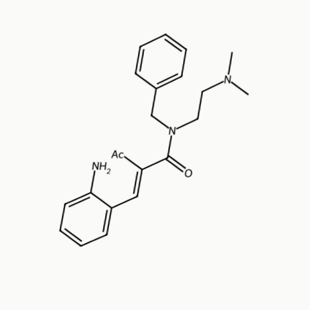 CC(=O)C(=Cc1ccccc1N)C(=O)N(CCN(C)C)Cc1ccccc1